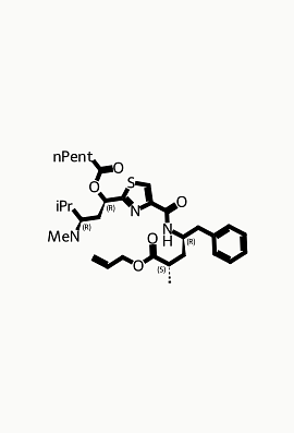 C=CCOC(=O)[C@@H](C)C[C@H](Cc1ccccc1)NC(=O)c1csc([C@@H](C[C@@H](NC)C(C)C)OC(=O)CCCCC)n1